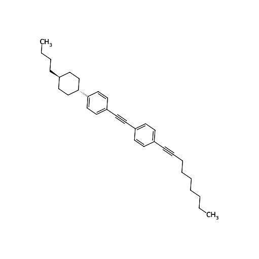 CCCCCCCC#Cc1ccc(C#Cc2ccc([C@H]3CC[C@H](CCCC)CC3)cc2)cc1